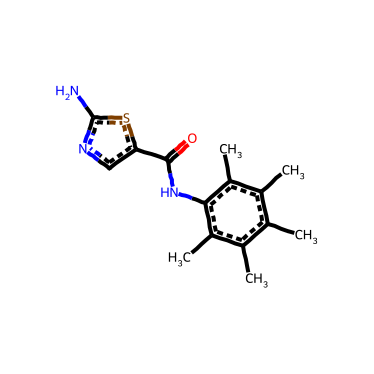 Cc1c(C)c(C)c(NC(=O)c2cnc(N)s2)c(C)c1C